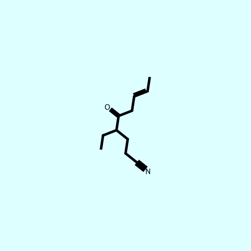 CC=CCC(=O)C(CC)CCC#N